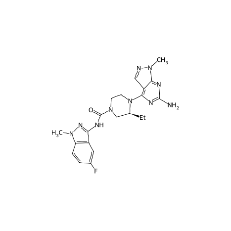 CC[C@H]1CN(C(=O)Nc2nn(C)c3ccc(F)cc23)CCN1c1nc(N)nc2c1cnn2C